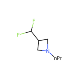 CCCN1CC(C(F)F)C1